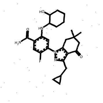 CC1(C)CC(=O)c2c(CC3CC3)nn(-c3cc(NC4CCCCC4O)c(C(N)=O)cc3F)c2C1